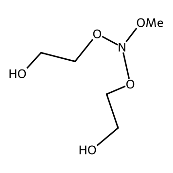 CON(OCCO)OCCO